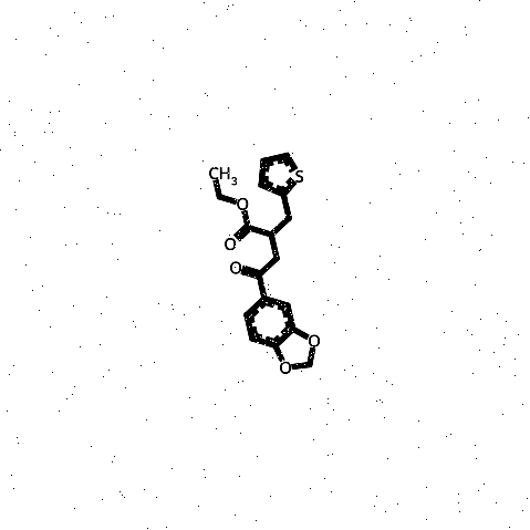 CCOC(=O)C(CC(=O)c1ccc2c(c1)OCO2)Cc1cccs1